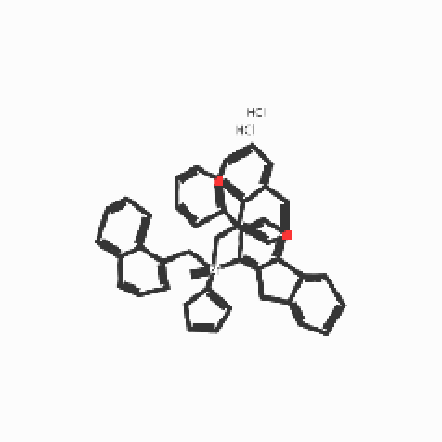 Cl.Cl.[CH2]=[Zr]([CH2]c1cccc2ccccc12)([CH2]c1cccc2ccccc12)([C]1=CC=CC1)[c]1c(-c2ccccc2)ccc2c1Cc1ccccc1-2